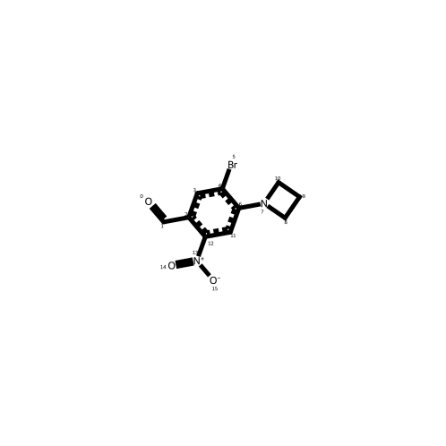 O=Cc1cc(Br)c(N2CCC2)cc1[N+](=O)[O-]